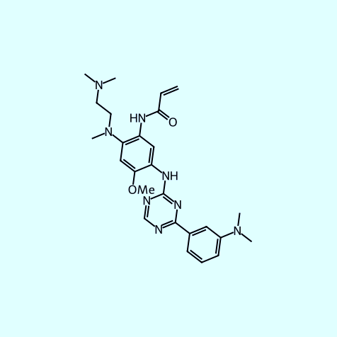 C=CC(=O)Nc1cc(Nc2ncnc(-c3cccc(N(C)C)c3)n2)c(OC)cc1N(C)CCN(C)C